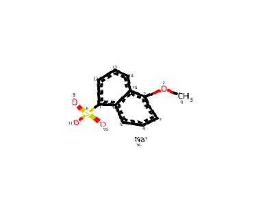 COc1cccc2c(S(=O)(=O)[O-])cccc12.[Na+]